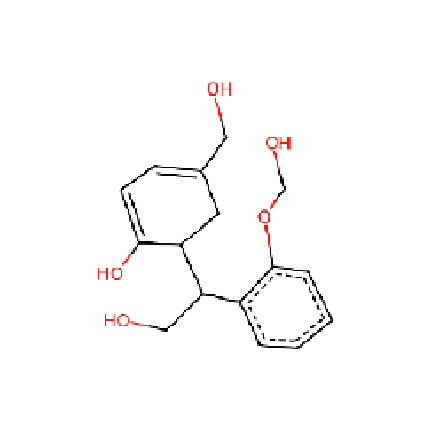 OCOc1ccccc1C(CO)C1CC(CO)=CC=C1O